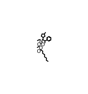 CCCCCCCC(=O)OC(C)OC(=O)N(CC)C(C1CCC(C)C1)C(C)c1ccccc1